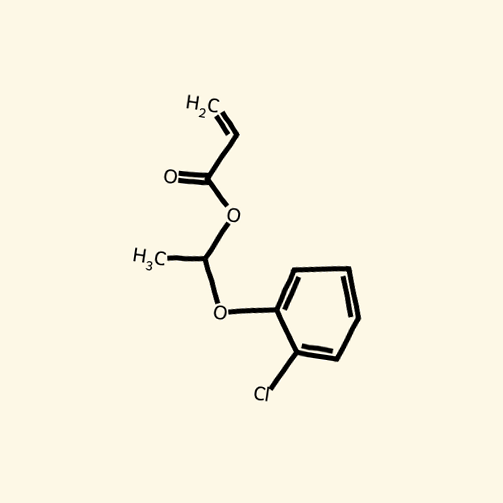 C=CC(=O)OC(C)Oc1ccccc1Cl